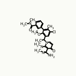 C=Nc1c(/C(N)=N\C)c(=O)ccn1C(C)c1cc(Cl)c(C)c(-c2cccc(C(=O)N(C)C)c2)c1OC